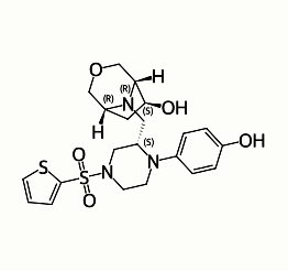 O=S(=O)(c1cccs1)N1CCN(c2ccc(O)cc2)[C@@H](CN2[C@H]3COC[C@@H]2[C@@H](O)C3)C1